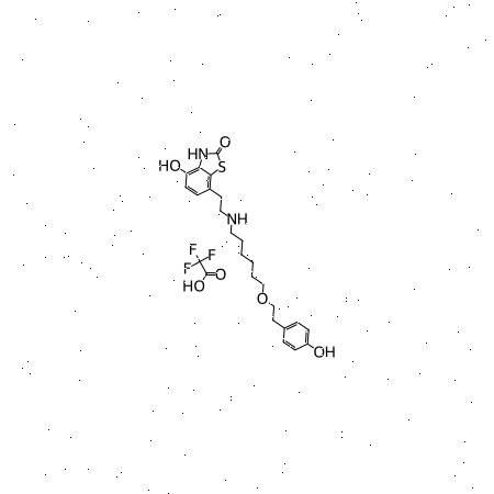 O=C(O)C(F)(F)F.O=c1[nH]c2c(O)ccc(CCNCCCCCCOCCc3ccc(O)cc3)c2s1